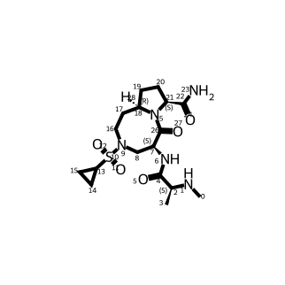 CN[C@@H](C)C(=O)N[C@H]1CN(S(=O)(=O)C2CC2)CC[C@H]2CC[C@@H](C(N)=O)N2C1=O